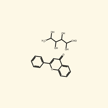 CC(O)C(O)C(O)C(O)C=O.O=c1cc(-c2ccccc2)oc2ccccc12